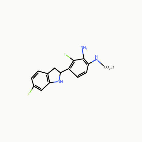 CCOC(=O)Nc1ccc(C2Cc3ccc(F)cc3N2)c(F)c1N